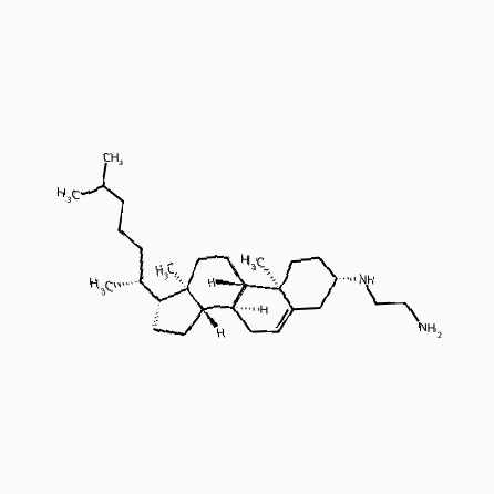 CC(C)CCC[C@@H](C)[C@H]1CC[C@H]2[C@@H]3CC=C4C[C@@H](NCCN)CC[C@]4(C)[C@H]3CC[C@]12C